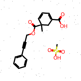 CC1(C(=O)OCC#Cc2ccccc2)C=CC=C(C(=O)O)C1.CS(=O)(=O)O